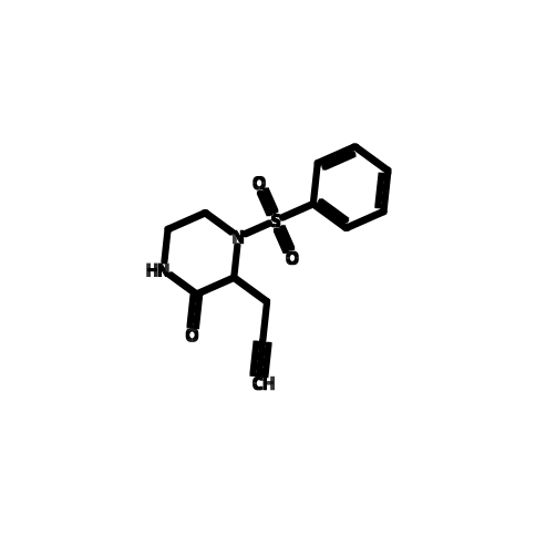 C#CCC1C(=O)NCCN1S(=O)(=O)c1ccccc1